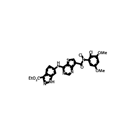 CCOC(=O)c1n[nH]c2cc(Nc3ncnc4c(C(=O)N(Cl)c5cc(OC)cc(OC)c5Cl)csc34)ccc12